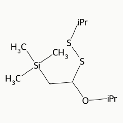 CC(C)OC(C[Si](C)(C)C)SSC(C)C